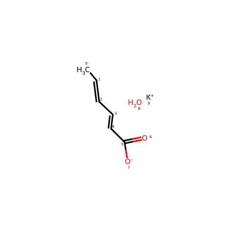 C/C=C/C=C/C(=O)[O-].O.[K+]